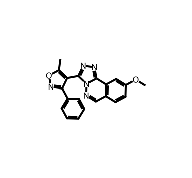 COc1ccc2cnn3c(-c4c(-c5ccccc5)noc4C)nnc3c2c1